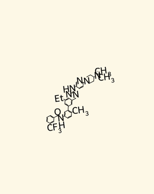 CCc1cc(-c2cc(NC(=O)c3cccc(C(F)(F)F)c3)ccc2C)cc2cnc(Nc3ccc(N4CCC(N(C)C)CC4)nc3)nc12